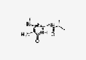 CNc1nc(NC(=O)C(C)C)[nH]c(=O)c1N